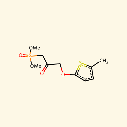 COP(=O)(CC(=O)COc1ccc(C)s1)OC